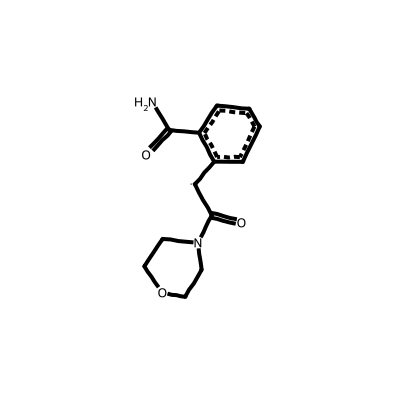 NC(=O)c1ccccc1[CH]C(=O)N1CCOCC1